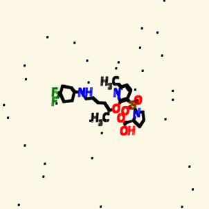 Cc1ccc(S(=O)(=O)N2CCC[C@H]2C(=O)O)c(O[C@H](C)CCCCNC2CCC(F)(F)CC2)n1